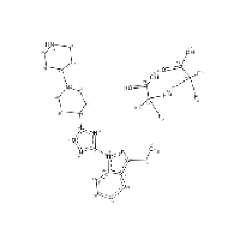 CCc1nn(-c2noc(C3CCN(C4CCNCC4)CC3)n2)c2ccccc12.O=C(O)C(F)(F)F.O=C(O)C(F)(F)F